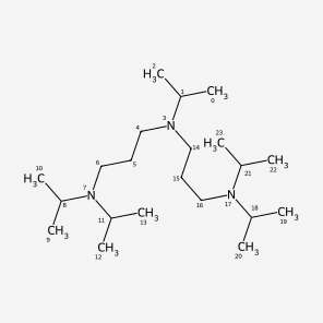 CC(C)N(CCCN(C(C)C)C(C)C)CCCN(C(C)C)C(C)C